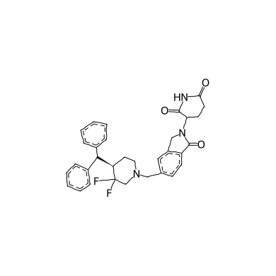 O=C1CCC(N2Cc3cc(CN4CC[C@H](C(c5ccccc5)c5ccccc5)C(F)(F)C4)ccc3C2=O)C(=O)N1